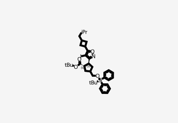 CC(C)CC1CC(c2onc([C@H]3CC(CO[Si](c4ccccc4)(c4ccccc4)C(C)(C)C)C[C@@H]3C(=O)OC(C)(C)C)c2I)C1